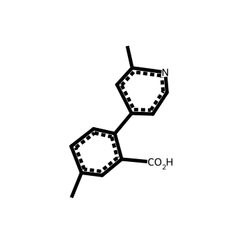 Cc1ccc(-c2ccnc(C)c2)c(C(=O)O)c1